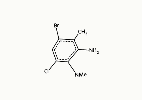 CNc1c(Cl)cc(Br)c(C)c1N